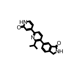 CC(C)c1nc(-c2cc[nH]c(=O)c2)ccc1-c1ccc2c(c1)C(=O)NC2